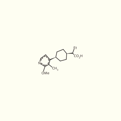 CCC(C(=O)O)[C@H]1CC[C@@H](c2ccnc(OC)c2C)CC1